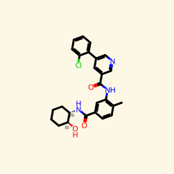 Cc1ccc(C(=O)N[C@H]2CCCC[C@@H]2O)cc1NC(=O)c1cncc(-c2ccccc2Cl)c1